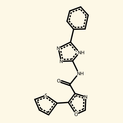 O=C(Nc1nnc(-c2ccccc2)[nH]1)c1ncoc1-c1cccs1